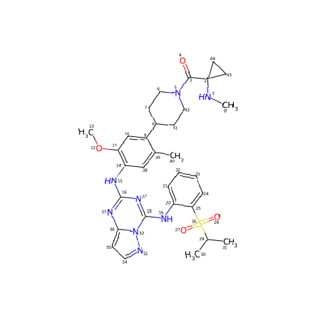 CNC1(C(=O)N2CCC(c3cc(OC)c(Nc4nc(Nc5ccccc5S(=O)(=O)C(C)C)n5nccc5n4)cc3C)CC2)CC1